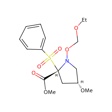 CCOCON1C[C@H](OC)C[C@]1(C(=O)OC)S(=O)(=O)c1ccccc1